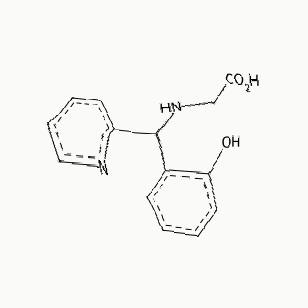 O=C(O)CNC(c1ccccn1)c1ccccc1O